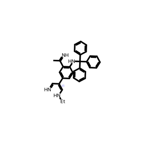 CCN/C=C(\C=N)c1ccc(NC(c2ccccc2)(c2ccccc2)c2ccccc2)c(C(C)=N)c1